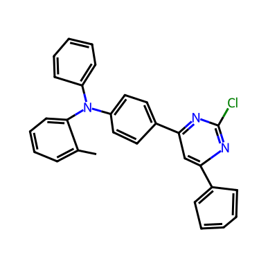 Cc1ccccc1N(c1ccccc1)c1ccc(-c2cc(-c3ccccc3)nc(Cl)n2)cc1